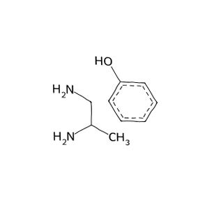 CC(N)CN.Oc1ccccc1